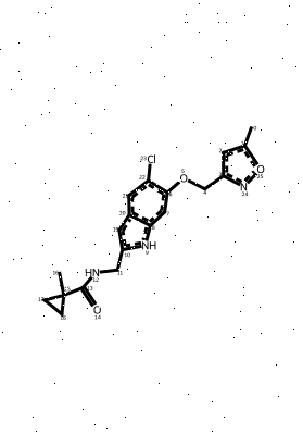 Cc1cc(COc2cc3[nH]c(CNC(=O)C4(C)CC4)cc3cc2Cl)no1